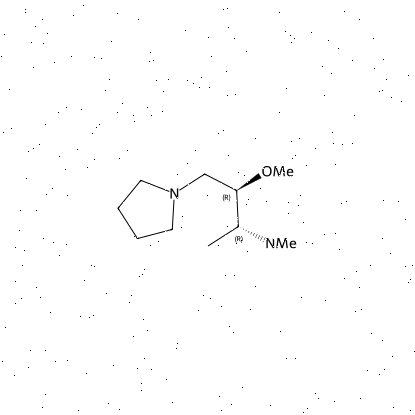 CN[C@H](C)[C@@H](CN1CCCC1)OC